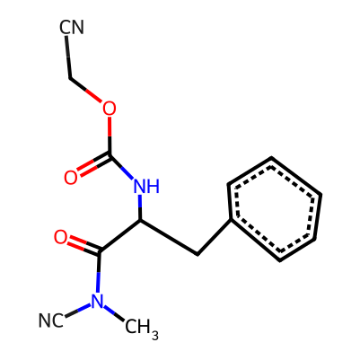 CN(C#N)C(=O)C(Cc1ccccc1)NC(=O)OCC#N